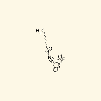 CCCCCCCCCC(=O)OCCN1CCN(C2Cc3ccccc3Sc3cc(F)c(Cl)cc32)CC1